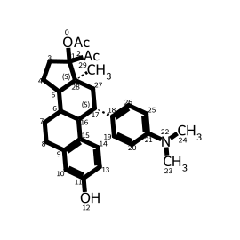 CC(=O)OC1(C(C)=O)CCC2C3CCc4cc(O)ccc4C3[C@@H](c3ccc(N(C)C)cc3)C[C@@]21C